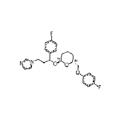 Fc1ccc(OC[C@H]2CCC[C@H](OC(CCn3ccnc3)c3ccc(F)cc3)O2)cc1